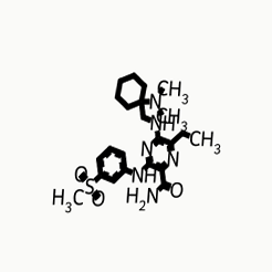 CCc1nc(C(N)=O)c(Nc2cccc(S(C)(=O)=O)c2)nc1NCC1(N(C)C)CCCCC1